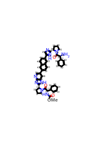 COC(=O)N[C@H](C(=O)N1CCC[C@H]1c1nc2ncc(-c3ccc4cc(-c5cnc([C@@H]6CCCN6C(=O)[C@@H](N)C6C=CCC=C6)[nH]5)ccc4c3)cc2[nH]1)C1C=CCC=C1